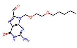 CCCCCOCCOCn1c(C=O)nc2c(=O)[nH]c(N)nc21